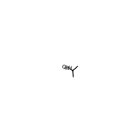 [CH2]CC(C)C.[GeH4]